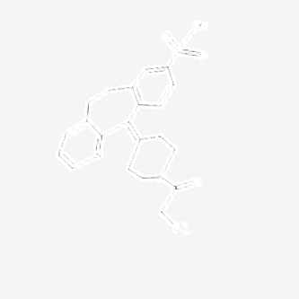 CCC(=O)N1CCC(=C2c3ccc(S(=O)(=O)O)cc3CCc3cccnc32)CC1